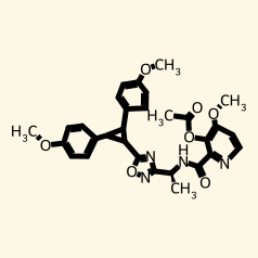 COc1ccc(C2C(c3ccc(OC)cc3)C2c2nc([C@H](C)NC(=O)c3nccc(OC)c3OC(C)=O)no2)cc1